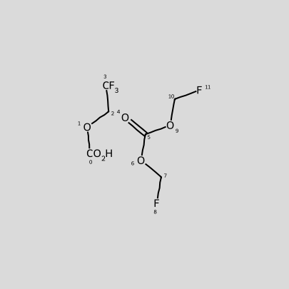 O=C(O)OCC(F)(F)F.O=C(OCF)OCF